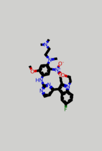 COc1cc(N(C)CCN(C)C)c([N+](=O)[O-])cc1Nc1nccc(-c2c3n(c4ccc(F)cc24)CCOC3)n1